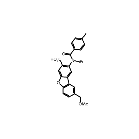 COCc1ccc2oc3cc(C(=O)O)c(N(C(=O)c4ccc(C)cc4)C(C)C)cc3c2c1